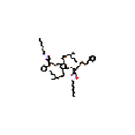 CCCCCCCCN1C(=O)c2sc3c(-c4cc5c(-c6ccc(CC(CC)CCCC)s6)c6sc(-c7sc(-c8cc9sc(-c%10ccccc%10)cc9s8)c8sc9c(c78)C(=O)N(CCCCCCCC)C9=O)cc6c(-c6ccc(CC(CC)CCCC)s6)c5s4)sc(-c4ccccc4)c3c2C1=O